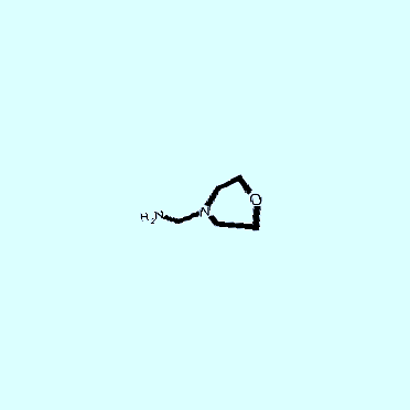 NCN1CCOCC1